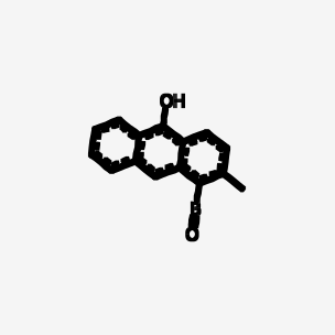 Cc1ccc2c(O)c3ccccc3cc2c1B=O